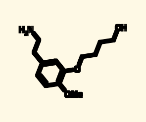 COc1ccc(CCN)cc1OCCCCO